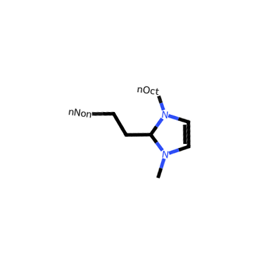 CCCCCCCCCCCC1N(C)C=CN1CCCCCCCC